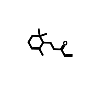 C=CC(=O)CCC1C(C)=CCCC1(C)C